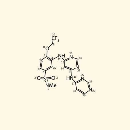 CNS(=O)(=O)c1ccc(OCC(F)(F)F)c(Nc2cc(Nc3ccncn3)ncn2)c1